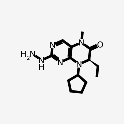 CC[C@@H]1C(=O)N(C)c2cnc(NN)nc2N1C1CCCC1